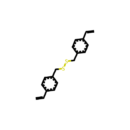 C=Cc1ccc(CSSCc2ccc(C=C)cc2)cc1